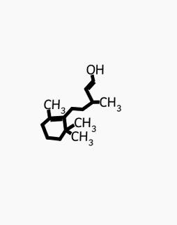 CC1=C(CCC(C)/C=C/O)C(C)(C)CCC1